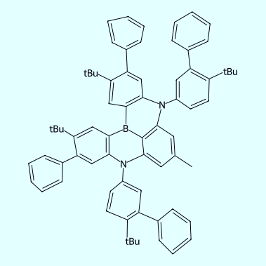 Cc1cc2c3c(c1)N(c1ccc(C(C)(C)C)c(-c4ccccc4)c1)c1cc(-c4ccccc4)c(C(C)(C)C)cc1B3c1cc(C(C)(C)C)c(-c3ccccc3)cc1N2c1ccc(C(C)(C)C)c(-c2ccccc2)c1